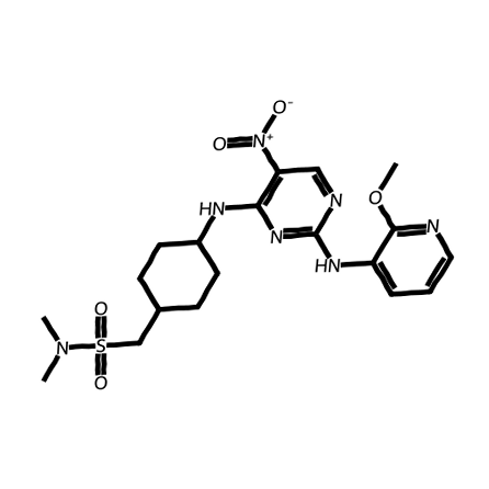 COc1ncccc1Nc1ncc([N+](=O)[O-])c(NC2CCC(CS(=O)(=O)N(C)C)CC2)n1